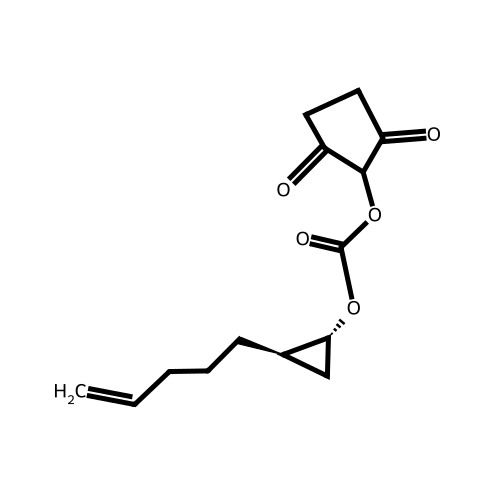 C=CCCC[C@@H]1C[C@H]1OC(=O)OC1C(=O)CCC1=O